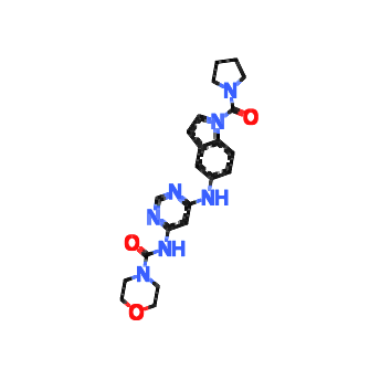 O=C(Nc1cc(Nc2ccc3c(ccn3C(=O)N3CCCC3)c2)ncn1)N1CCOCC1